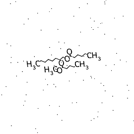 CCCCC(=O)OC.CCCCCCCCOC(=O)CCCCC